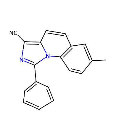 Cc1ccc2c(ccc3c(C#N)nc(-c4ccccc4)n32)c1